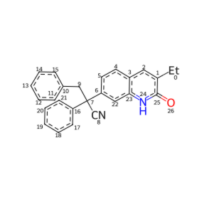 CCc1cc2ccc(C(C#N)(Cc3ccccc3)c3ccccc3)cc2[nH]c1=O